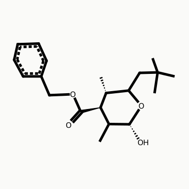 CC1[C@@H](C(=O)OCc2ccccc2)[C@H](C)C(CC(C)(C)C)O[C@@H]1O